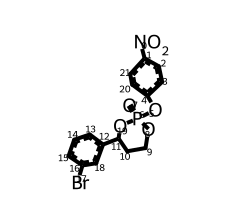 O=[N+]([O-])c1ccc(OP2(=O)OCCC(c3cccc(Br)c3)O2)cc1